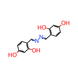 Oc1ccc(C=NN=Cc2ccc(O)cc2O)c(O)c1